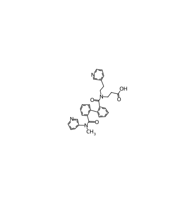 CN(C(=O)c1ccccc1-c1ccccc1C(=O)N(CCC(=O)O)CCc1cccnc1)c1cccnc1